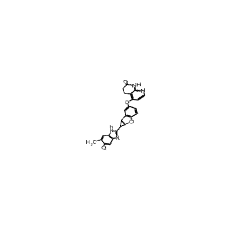 Cc1cc2[nH]c(C3C4Oc5ccc(Oc6ccnc7c6CCC(=O)N7)cc5C43)nc2cc1Cl